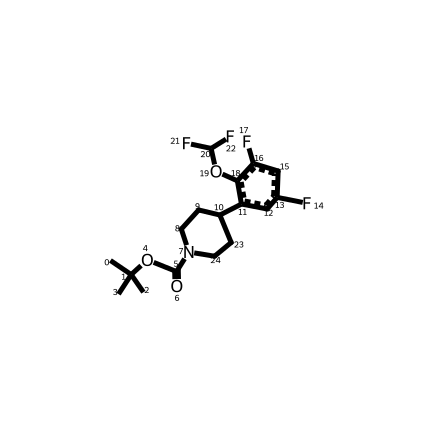 CC(C)(C)OC(=O)N1CCC(c2cc(F)cc(F)c2OC(F)F)CC1